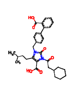 CC(C)CCc1c(C(=O)O)n(C(=O)CC2CCCCC2)c(=O)n1Cc1ccc(-c2ccccc2C(=O)O)cc1